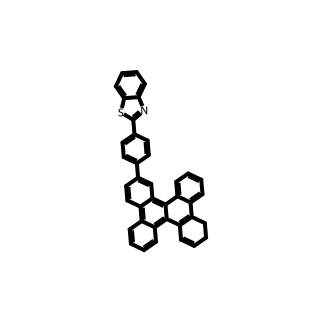 C1=Cc2c(c3ccccc3c3c4cc(-c5ccc(-c6nc7ccccc7s6)cc5)ccc4c4ccccc4c23)CC1